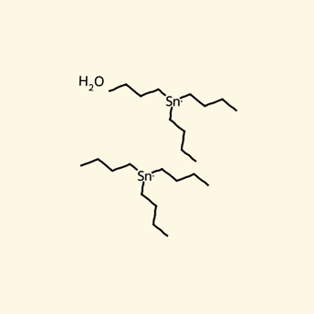 CCC[CH2][Sn]([CH2]CCC)[CH2]CCC.CCC[CH2][Sn]([CH2]CCC)[CH2]CCC.O